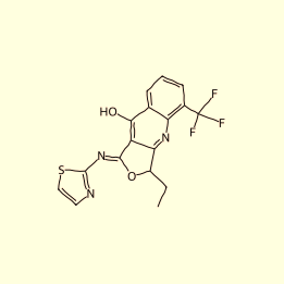 CCC1OC(=Nc2nccs2)c2c1nc1c(C(F)(F)F)cccc1c2O